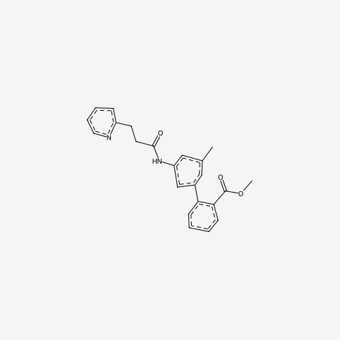 COC(=O)c1ccccc1-c1cc(C)cc(NC(=O)CCc2ccccn2)c1